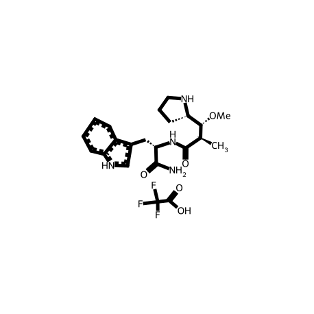 CO[C@@H]([C@@H]1CCCN1)[C@@H](C)C(=O)N[C@@H](Cc1c[nH]c2ccccc12)C(N)=O.O=C(O)C(F)(F)F